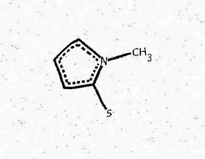 Cn1cccc1[S]